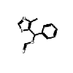 Cc1ncsc1C(OC=O)c1ccccc1